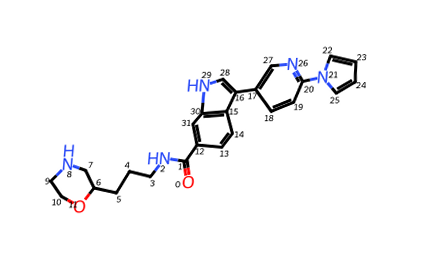 O=C(NCCCC1CNCCO1)c1ccc2c(-c3ccc(-n4cccc4)nc3)c[nH]c2c1